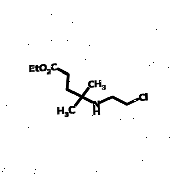 CCOC(=O)CCC(C)(C)NCCCl